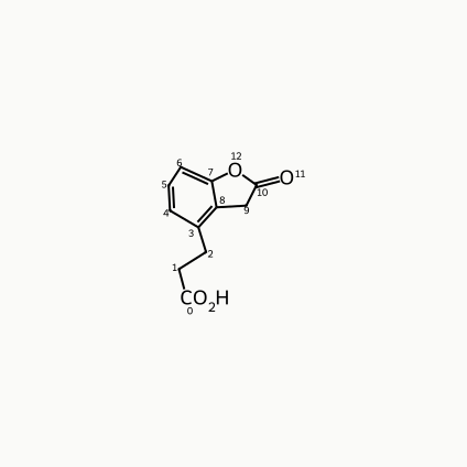 O=C(O)CCc1cccc2c1CC(=O)O2